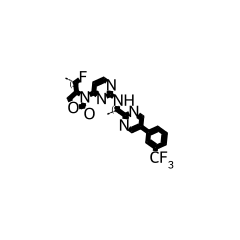 C[C@H](Nc1nccc(N2C(=O)OCC2[C@H](C)F)n1)c1ncc(-c2cccc(C(F)(F)F)c2)cn1